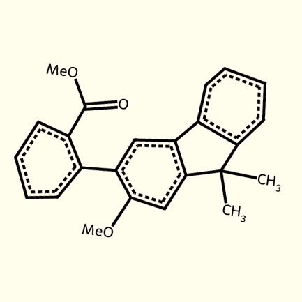 COC(=O)c1ccccc1-c1cc2c(cc1OC)C(C)(C)c1ccccc1-2